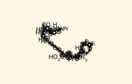 CCCNC(=O)Nc1cccc(S(=O)(=O)Nc2cccc(C(CC(=O)O)NC(=O)Nc3ccc(NC(=O)NCCOCCOCCOCCC(=O)NC(CC(=O)O)C(=O)N4CCCC4C(=O)NC(C(=O)N=S(C)(=O)Cc4cc5nc(c4)OCCCOc4cc(F)ccc4-c4cc(ncc4F)N5)C(C)C)cc3)c2)c1